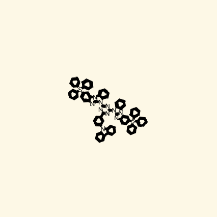 c1ccc(S(c2ccccc2)(c2ccccc2)c2ccc3nc4n(-c5nc(-c6cccc(-n7c8ccccc8c8ccccc87)c6)nc(-n6c7ccccc7n7c8cc(S(c9ccccc9)(c9ccccc9)c9ccccc9)ccc8nc67)n5)c5ccccc5n4c3c2)cc1